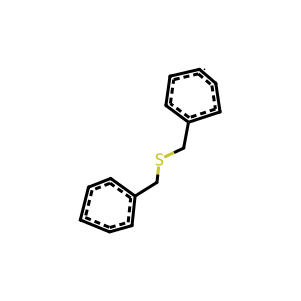 [c]1ccc(CSCc2ccccc2)cc1